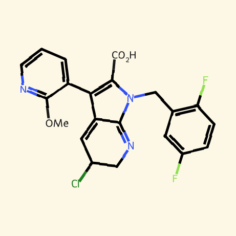 COc1ncccc1-c1c(C(=O)O)n(Cc2cc(F)ccc2F)c2c1=CC(Cl)CN=2